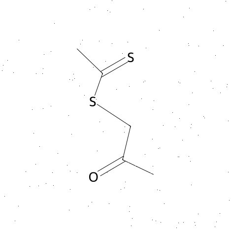 CC(=O)CSC(C)=S